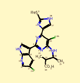 CSc1nc(-c2nc(-c3c[nH]c4ncc(F)cc34)nc(NC(C)C(C)C(=O)O)c2F)c[nH]1